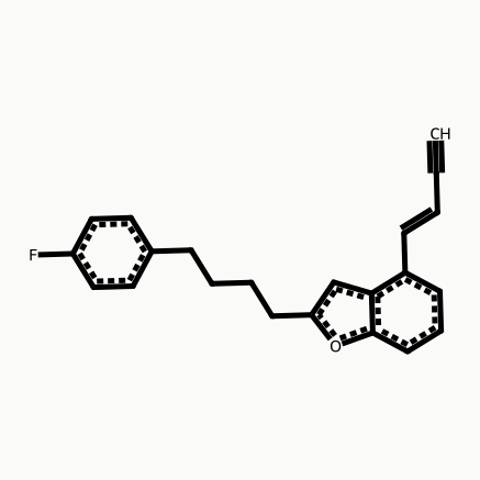 C#CC=Cc1cccc2oc(CCCCc3ccc(F)cc3)cc12